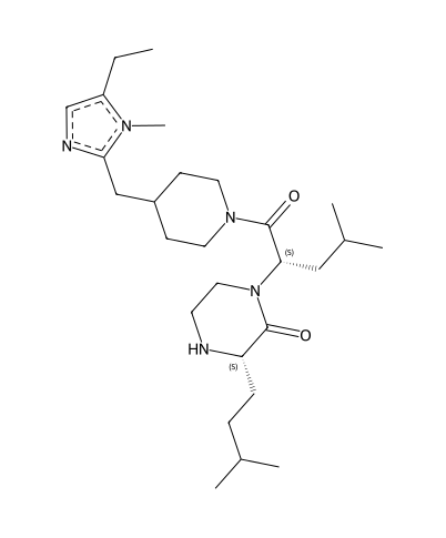 CCc1cnc(CC2CCN(C(=O)[C@H](CC(C)C)N3CCN[C@@H](CCC(C)C)C3=O)CC2)n1C